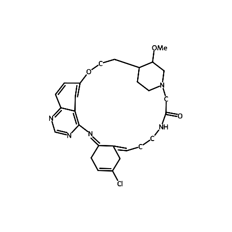 COC1CN2CCC1CCOc1ccc3ncnc(c3c1)/N=C1\CC=C(Cl)C\C1=C/CCNC(=O)C2